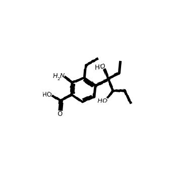 CCc1c(C(O)(CC)C(O)CC)ccc(C(=O)O)c1N